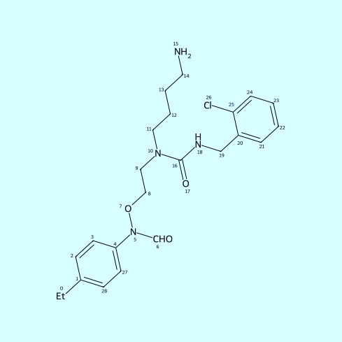 CCc1ccc(N(C=O)OCCN(CCCCN)C(=O)NCc2ccccc2Cl)cc1